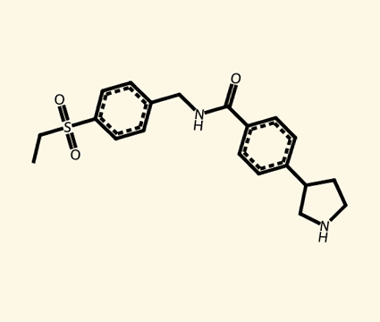 CCS(=O)(=O)c1ccc(CNC(=O)c2ccc(C3CCNC3)cc2)cc1